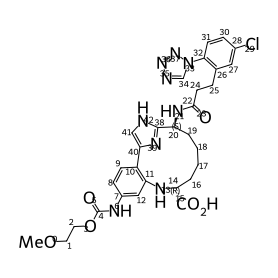 COCCOC(=O)Nc1ccc2c(c1)N[C@@H](C(=O)O)CCCC[C@H](NC(=O)CCc1cc(Cl)ccc1-n1cnnn1)c1nc-2c[nH]1